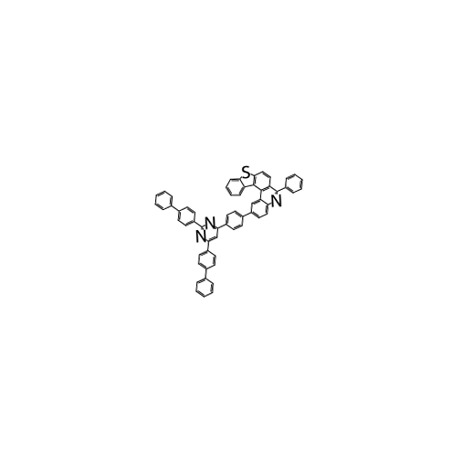 c1ccc(-c2ccc(-c3cc(-c4ccc(-c5ccc6nc(-c7ccccc7)c7ccc8sc9ccccc9c8c7c6c5)cc4)nc(-c4ccc(-c5ccccc5)cc4)n3)cc2)cc1